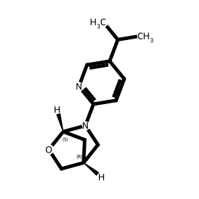 CC(C)c1ccc(N2C[C@@H]3CO[C@H]2C3)nc1